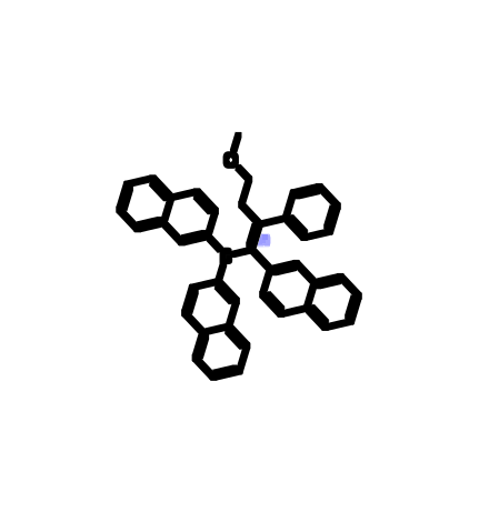 COCC/C(=C(\B(c1ccc2ccccc2c1)c1ccc2ccccc2c1)c1ccc2ccccc2c1)c1ccccc1